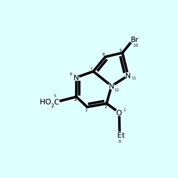 CCOc1cc(C(=O)O)nc2cc(Br)nn12